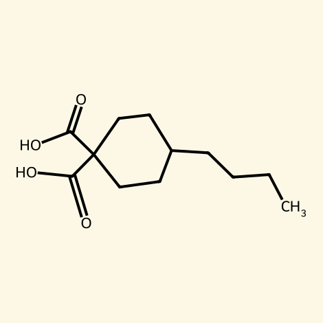 CCCCC1CCC(C(=O)O)(C(=O)O)CC1